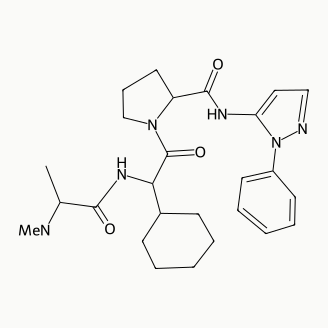 CNC(C)C(=O)NC(C(=O)N1CCCC1C(=O)Nc1ccnn1-c1ccccc1)C1CCCCC1